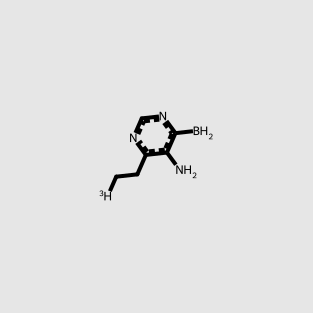 [3H]CCc1ncnc(B)c1N